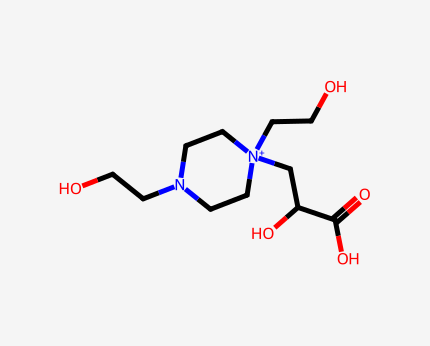 O=C(O)C(O)C[N+]1(CCO)CCN(CCO)CC1